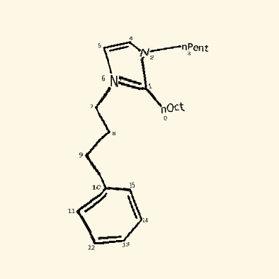 CCCCCCCCc1n(CCCCC)cc[n+]1CCCc1ccccc1